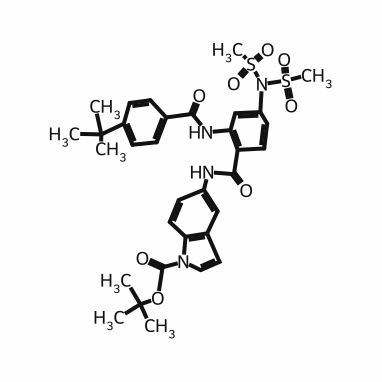 CC(C)(C)OC(=O)n1ccc2cc(NC(=O)c3ccc(N(S(C)(=O)=O)S(C)(=O)=O)cc3NC(=O)c3ccc(C(C)(C)C)cc3)ccc21